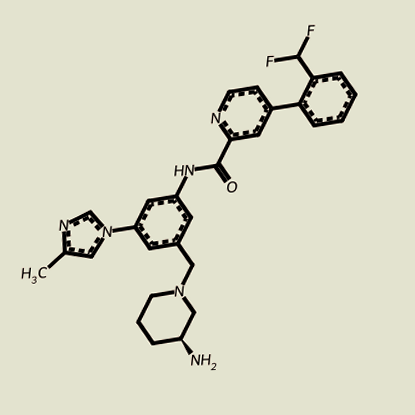 Cc1cn(-c2cc(CN3CCC[C@H](N)C3)cc(NC(=O)c3cc(-c4ccccc4C(F)F)ccn3)c2)cn1